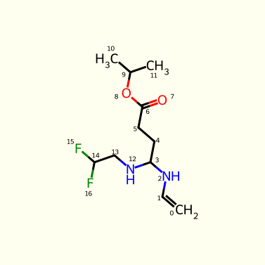 C=CNC(CCC(=O)OC(C)C)NCC(F)F